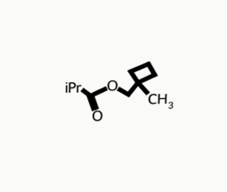 CC(C)C(=O)OCC1(C)CCC1